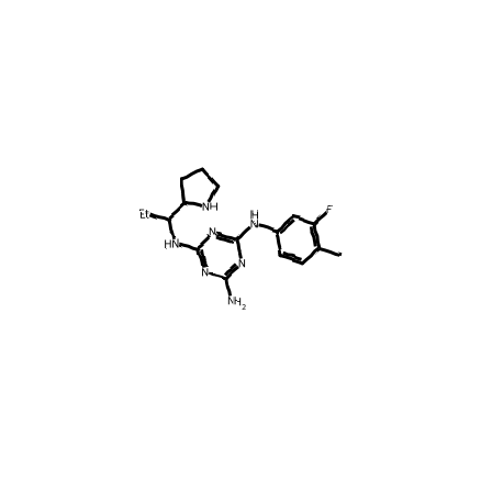 CCC(Nc1nc(N)nc(Nc2ccc(C)c(F)c2)n1)C1CCCN1